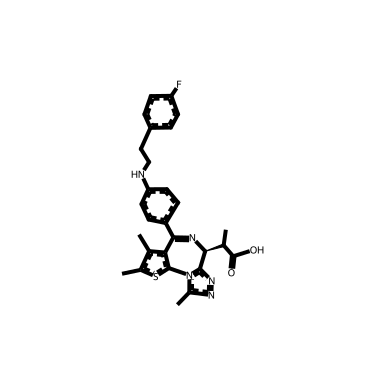 Cc1sc2c(c1C)C(c1ccc(NCCc3ccc(F)cc3)cc1)=N[C@@H](C(C)C(=O)O)c1nnc(C)n1-2